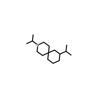 CC(C)C1CCCC2(CCN(C(C)C)CC2)C1